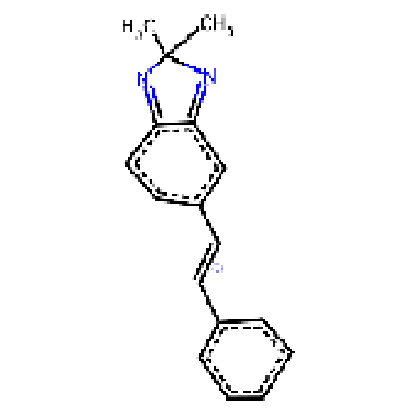 CC1(C)N=c2ccc(/C=C/c3ccccc3)cc2=N1